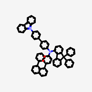 c1ccc(-c2cccc3cccc(-c4ccc(N(c5ccc(-c6ccc(-n7c8ccccc8c8ccccc87)cc6)cc5)c5cccc6c5-c5ccccc5C6(c5ccccc5)c5ccccc5)cc4)c23)cc1